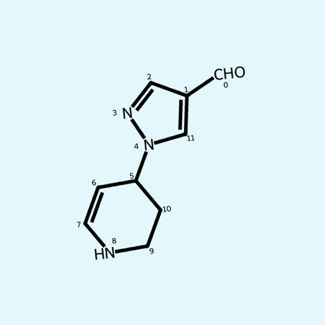 O=Cc1cnn(C2C=CNCC2)c1